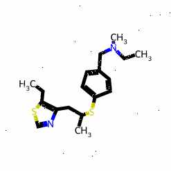 CCc1scnc1CC(C)Sc1ccc(CN(C)CC)cc1